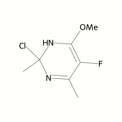 COC1=C(F)C(C)=NC(C)(Cl)N1